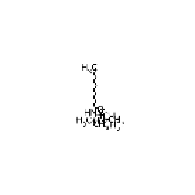 CCCCCCCCCCCC(=O)N[C@H](C(=O)NC(C)(C)C)C(C)C